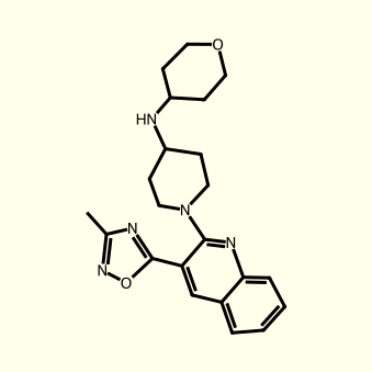 Cc1noc(-c2cc3ccccc3nc2N2CCC(NC3CCOCC3)CC2)n1